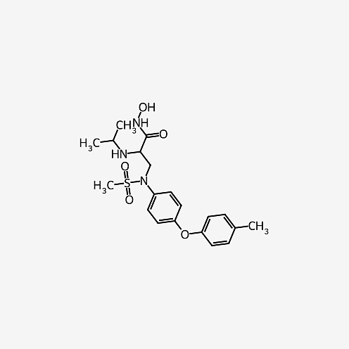 Cc1ccc(Oc2ccc(N(CC(NC(C)C)C(=O)NO)S(C)(=O)=O)cc2)cc1